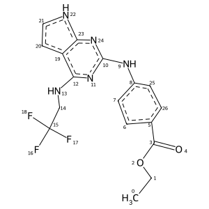 CCOC(=O)c1ccc(Nc2nc(NCC(F)(F)F)c3cc[nH]c3n2)cc1